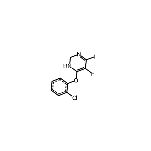 FC1=C(Oc2ccccc2Cl)NCN=C1I